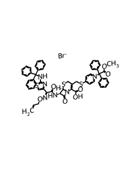 C=CCON=C(C(=O)N[C@@H]1C(=O)N2C(C(=O)O)=C(CSc3cc[n+](C(C(=O)OC)(c4ccccc4)c4ccccc4)cc3)CS[C@H]12)c1csc(NC(c2ccccc2)(c2ccccc2)c2ccccc2)n1.[Br-]